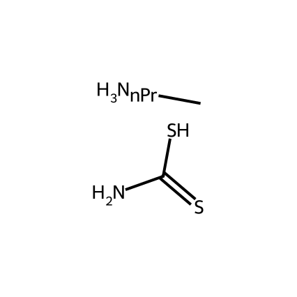 CCCC.N.NC(=S)S